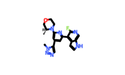 C[C@@H]1COCCN1c1cc(-c2cnnn2C)cc(-c2c(F)ncc3[nH]ccc23)n1